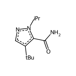 CC(C)n1ncc(C(C)(C)C)c1C(N)=O